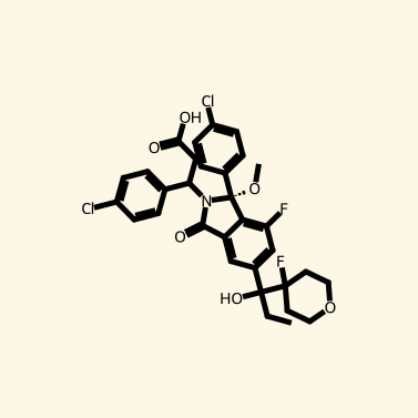 CCC(O)(c1cc(F)c2c(c1)C(=O)N(C(CC(=O)O)c1ccc(Cl)cc1)[C@@]2(OC)c1ccc(Cl)cc1)C1(F)CCOCC1